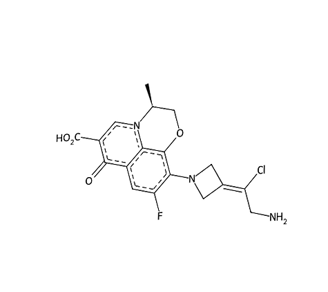 C[C@H]1COc2c(N3CC(=C(Cl)CN)C3)c(F)cc3c(=O)c(C(=O)O)cn1c23